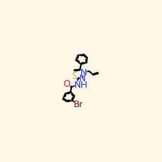 C=CCN1N=C(NC(=O)c2cccc(Br)c2)SC=C1c1ccccc1